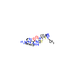 C=CCn1nnnc1SCC1=C(C(=O)O)N2C(=O)C(NC(=O)C(=NOC)c3nccc(N)n3)[C@@H]2SC1